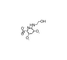 COc1cc(OC)c([N+](=O)[O-])nc1NCCO